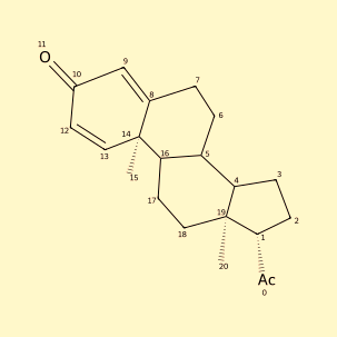 CC(=O)[C@H]1CCC2C3CCC4=CC(=O)C=C[C@]4(C)C3CC[C@@]21C